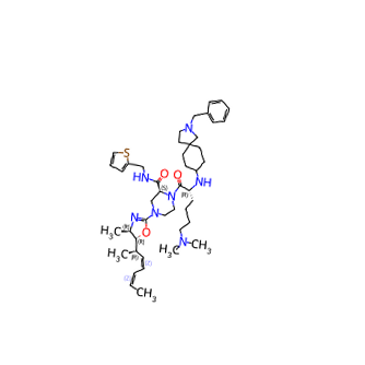 C/C=C\C=C/[C@@H](C)[C@H]1OC(N2CCN(C(=O)[C@@H](CCCCN(C)C)NC3CCC4(CC3)CCN(Cc3ccccc3)C4)[C@H](C(=O)NCc3cccs3)C2)=N[C@@H]1C